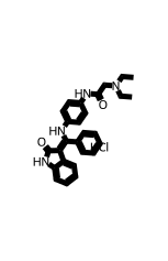 CCN(CC)CC(=O)Nc1ccc(N/C(=C2\C(=O)Nc3ccccc32)c2ccccc2)cc1.Cl